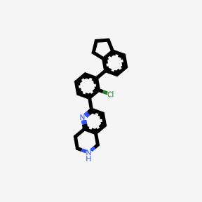 Clc1c(-c2ccc3c(n2)CCNC3)cccc1-c1cccc2c1CCC2